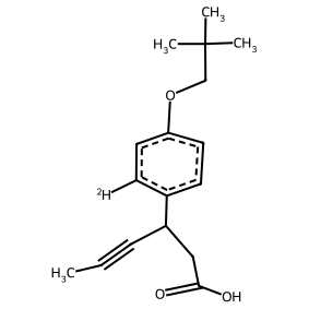 [2H]c1cc(OCC(C)(C)C)ccc1C(C#CC)CC(=O)O